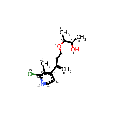 C=C(CCOC(C)[C@@H](C)O)c1ccnc(Cl)c1C